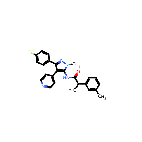 Cc1cccc(C(C)C(=O)Nc2c(-c3ccncc3)c(-c3ccc(F)cc3)nn2C)c1